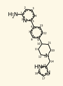 Nc1cccc(-c2ccc(C3CCN(Cc4ncc[nH]4)CC3)cc2)n1